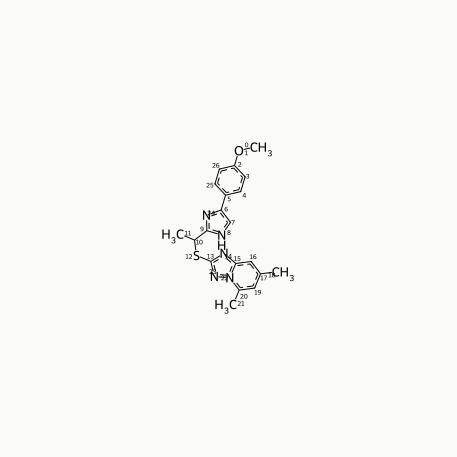 COc1ccc(-c2c[nH]c(C(C)Sc3nc4cc(C)cc(C)n4n3)n2)cc1